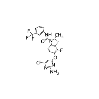 CC1Cc2c(ccc(Oc3cc(Cl)nc(N)n3)c2F)N1C(=O)Nc1cccc(C(F)(F)F)c1